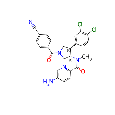 CN(C(=O)c1ccc(N)cn1)[C@@H]1CN(C(=O)c2ccc(C#N)cc2)C[C@H]1c1ccc(Cl)c(Cl)c1